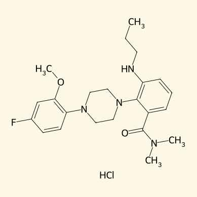 CCCNc1cccc(C(=O)N(C)C)c1N1CCN(c2ccc(F)cc2OC)CC1.Cl